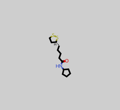 O=C(CCCC[C@@H]1CCSS1)NC1CCCC1